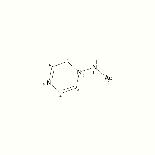 CC(=O)NN1C=CN=CC1